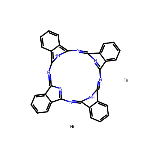 [Fe].[Ni].c1ccc2c(c1)-c1nc-2nc2[nH]c(nc3nc(nc4[nH]c(n1)c1ccccc41)-c1ccccc1-3)c1ccccc21